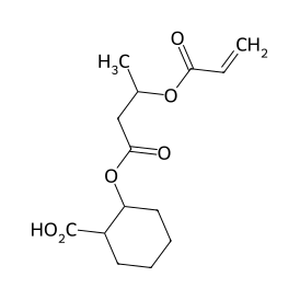 C=CC(=O)OC(C)CC(=O)OC1CCCCC1C(=O)O